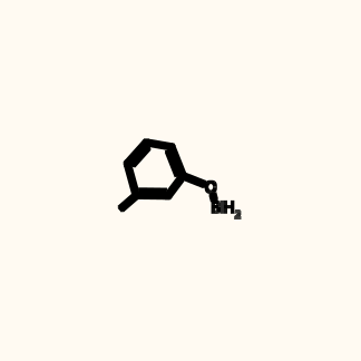 Cc1cccc([O][BiH2])c1